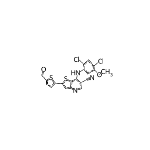 COc1cc(Nc2c(C#N)cnc3cc(-c4ccc(C=O)s4)sc23)c(Cl)cc1Cl